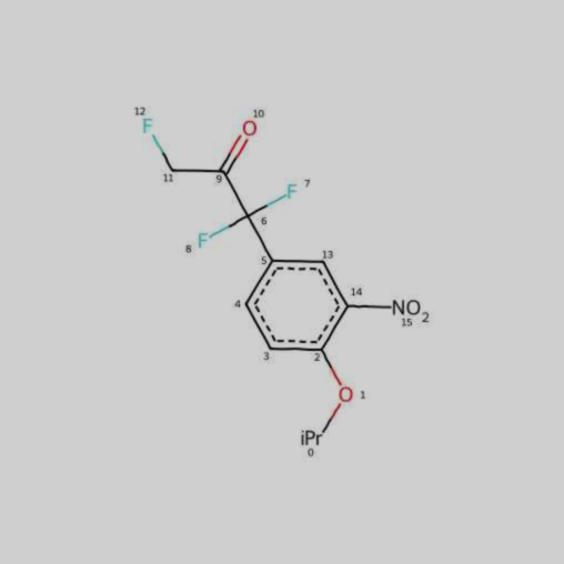 CC(C)Oc1ccc(C(F)(F)C(=O)CF)cc1[N+](=O)[O-]